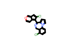 Clc1cccc2c1CN=C(c1c(Cl)cc3coccc1-3)c1cccn1-2